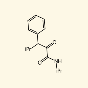 CC(C)NC(=O)C(=O)C(c1ccccc1)C(C)C